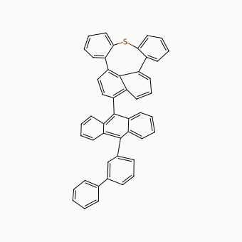 c1ccc(-c2cccc(-c3c4ccccc4c(-c4ccc5c6c(cccc46)-c4ccccc4Sc4ccccc4-5)c4ccccc34)c2)cc1